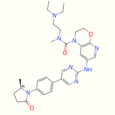 CCN(CC)CCN(C)C(=O)N1CCOc2ncc(Nc3ncc(-c4ccc(N5C(=O)CC[C@H]5C)cc4)cn3)cc21